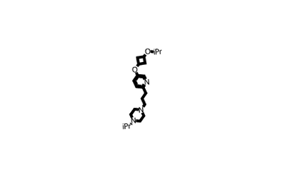 CC(C)OC1CC(Oc2ccc(CCCN3CCN(C(C)C)CC3)nc2)C1